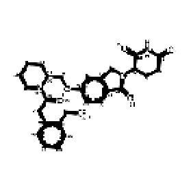 O=C1CCC(N2Cc3cc(OC[C@@H]4CCCCN4C(=O)Cc4ccccc4CC(F)(F)F)ccc3C2=O)C(=O)N1